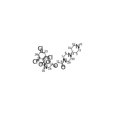 CN1CCC(N2CCN(C(=O)COCCN(C)S(=O)(=O)c3c(Cl)cc(Cl)cc3Cl)CC2)CC1